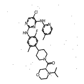 Cc1ccnc(Nc2nc(Nc3cc(C)c(C4CCN(C(=O)[C@@H]5COCCN5C(C)C)CC4)cc3F)ncc2Cl)c1